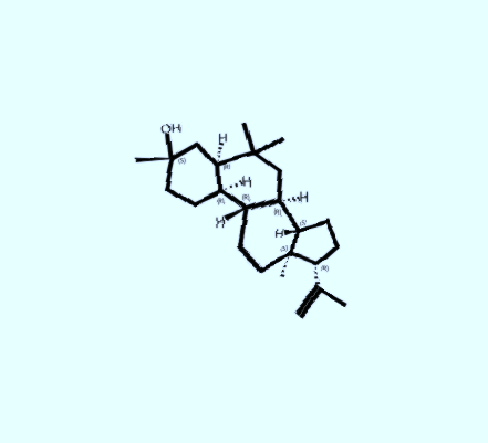 C=C(C)[C@H]1CC[C@H]2[C@@H]3CC(C)(C)[C@@H]4C[C@@](C)(O)CC[C@@H]4[C@H]3CC[C@]12C